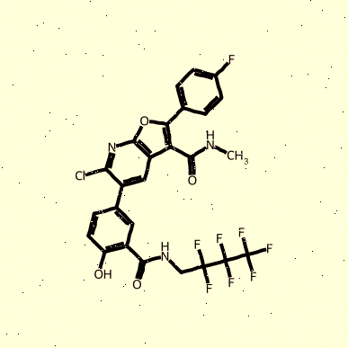 CNC(=O)c1c(-c2ccc(F)cc2)oc2nc(Cl)c(-c3ccc(O)c(C(=O)NCC(F)(F)C(F)(F)C(F)(F)F)c3)cc12